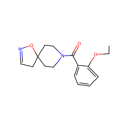 CCOc1ccccc1C(=O)N1CCC2(CC=NO2)CC1